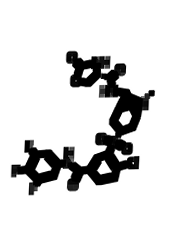 C[C@H]1CC2C[C@@H](S(=O)(=O)c3cc(C(=O)Nc4cc(F)c(F)c(F)c4)ccc3Cl)CC1[C@@]2(O)CNC(=O)[C@@H]1COC(=O)N1